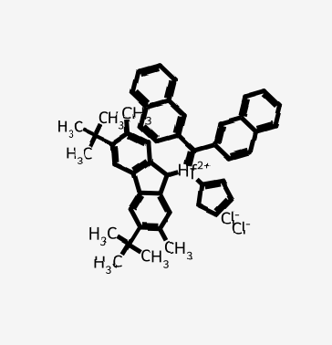 Cc1cc2c(cc1C(C)(C)C)-c1cc(C(C)(C)C)c(C)cc1[CH]2[Hf+2]([C]1=CC=CC1)=[C](c1ccc2ccccc2c1)c1ccc2ccccc2c1.[Cl-].[Cl-]